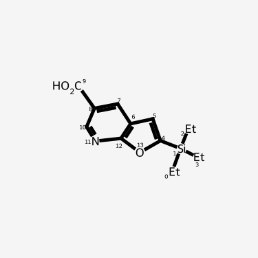 CC[Si](CC)(CC)c1cc2cc(C(=O)O)cnc2o1